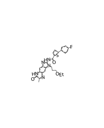 CCOCCCn1c(NC(=O)c2ccc(-c3ccc(F)cc3)s2)nc2cc3[nH]c(=O)c(C)nc3cc21